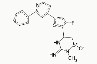 CN1C(=N)NC(c2sc(-c3ccnc(-c4ccncc4)c3)cc2F)C[S+]1[O-]